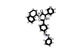 O=C(NC(C(=O)NC1CCCc2ccccc21)c1cccnc1)c1ccc(/N=N/c2ccccc2)cc1